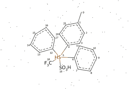 Cc1ccc([SH](c2ccccc2)(c2ccccc2)(C(F)(F)F)S(=O)(=O)O)cc1